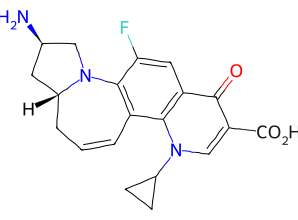 N[C@@H]1C[C@H]2CC=Cc3c(c(F)cc4c(=O)c(C(=O)O)cn(C5CC5)c34)N2C1